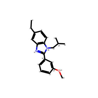 CCc1ccc2c(c1)nc(-c1cccc(OC)c1)n2CC(C)C